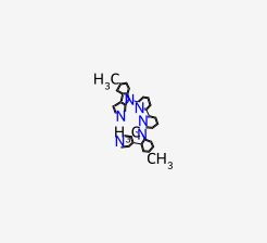 Cc1ccc(N(C)c2cccc(-c3cccc(-n4c5ccc(C)cc5c5ccncc54)n3)n2)c(-c2ccncc2)c1